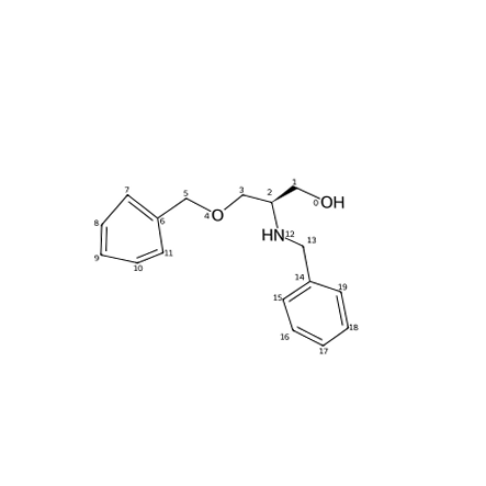 OC[C@H](COCc1ccccc1)NCc1ccccc1